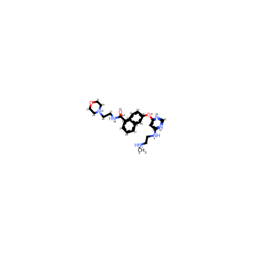 CNCCNc1cc(Oc2ccc3c(C(=O)NCCN4CCOCC4)cccc3c2)ncn1